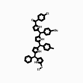 CCSc1ccc(C(c2ccccc2)c2ccc(C(c3ccc(C)cc3)c3ccc(C(c4ccc(C(C)(C)C)cc4)c4ccc(C(=O)c5ccc(CC)cc5)[nH]4)[nH]3)[nH]2)[nH]1